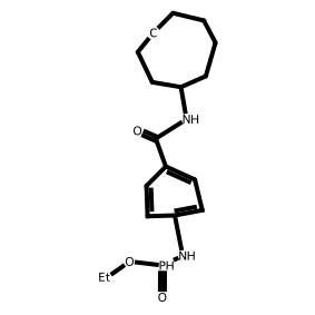 CCO[PH](=O)Nc1ccc(C(=O)NC2CCCCCCC2)cc1